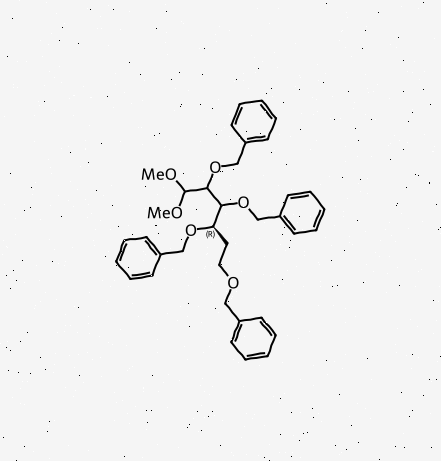 COC(OC)C(OCc1ccccc1)C(OCc1ccccc1)[C@@H](CCOCc1ccccc1)OCc1ccccc1